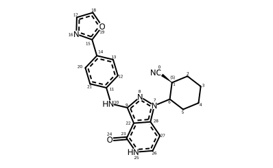 N#C[C@H]1CCCCC1n1nc(Nc2ccc(-c3ncco3)cc2)c2c(=O)[nH]ccc21